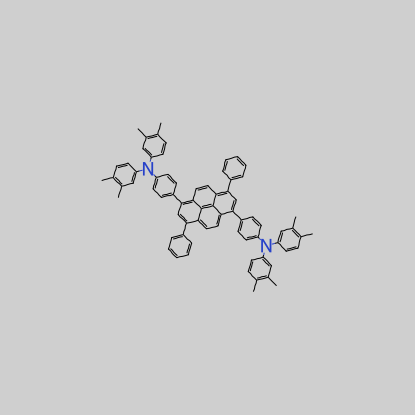 Cc1ccc(N(c2ccc(-c3cc(-c4ccccc4)c4ccc5c(-c6ccc(N(c7ccc(C)c(C)c7)c7ccc(C)c(C)c7)cc6)cc(-c6ccccc6)c6ccc3c4c65)cc2)c2ccc(C)c(C)c2)cc1C